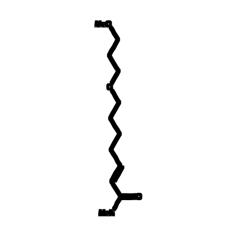 CNC(=O)/C=C/CCCCOCCCOC